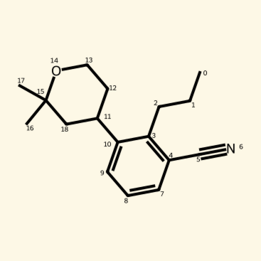 CCCc1c(C#N)cccc1C1CCOC(C)(C)C1